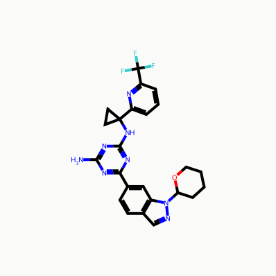 Nc1nc(NC2(c3cccc(C(F)(F)F)n3)CC2)nc(-c2ccc3cnn(C4CCCCO4)c3c2)n1